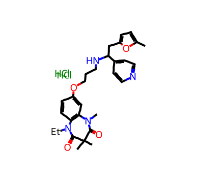 CCN1C(=O)C(C)(C)C(=O)N(C)c2cc(OCCCNC(Cc3ccc(C)o3)c3ccncc3)ccc21.Cl.Cl